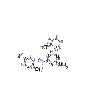 Nc1nc(/C=C/c2cc(Br)ccc2O)nc(-c2ccccc2O)n1